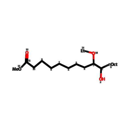 CCCCCCCCC(O)C(CCCCCCCC(=O)OC)OCC